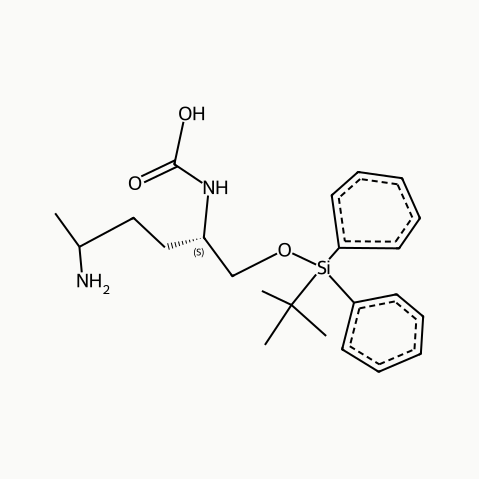 CC(N)CC[C@@H](CO[Si](c1ccccc1)(c1ccccc1)C(C)(C)C)NC(=O)O